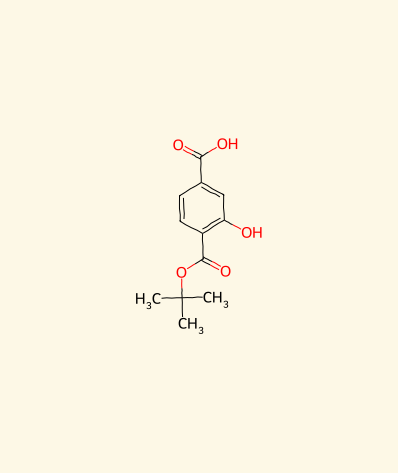 CC(C)(C)OC(=O)c1ccc(C(=O)O)cc1O